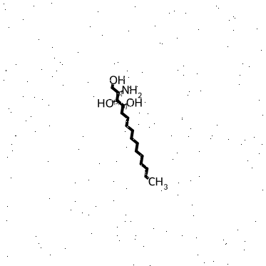 CCCCCCCCCCCC[C@@H](O)[C@@H](O)[C@@H](N)CO